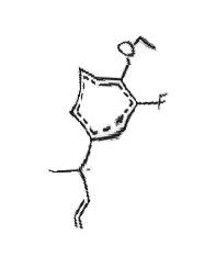 C=C[C](C)c1ccc(OC)c(F)c1